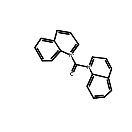 O=C([n+]1cccc2ccccc21)[n+]1cccc2ccccc21